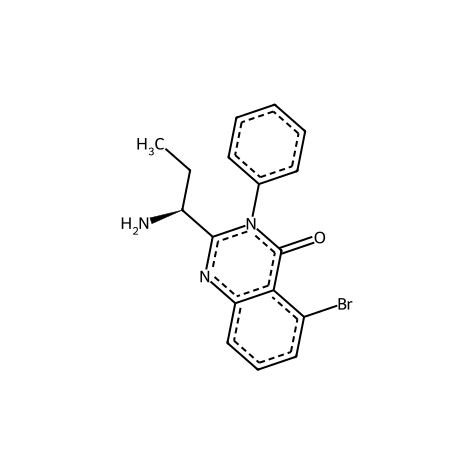 CC[C@H](N)c1nc2cccc(Br)c2c(=O)n1-c1ccccc1